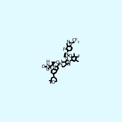 Cc1cc(-n2nc3c(c2-n2ccn(-c4ccc5c(cnn5CC(F)(F)F)c4F)c2=O)[C@H](C)N(C(=O)c2cc4cc(C5CCOC(C)(C)C5)ccc4n2[C@@]2(c4noc(=O)[nH]4)C[C@@H]2C)CC3)cc(C)c1F